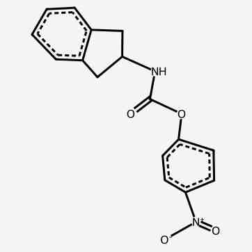 O=C(NC1Cc2ccccc2C1)Oc1ccc([N+](=O)[O-])cc1